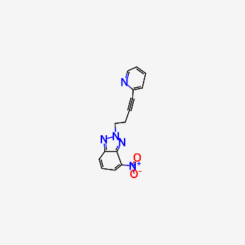 O=[N+]([O-])c1cccc2nn(CCC#Cc3ccccn3)nc12